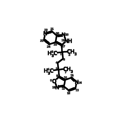 CC(C)(CCC(C)(C)c1onc2ccncc12)c1[nH]nc2cnccc12